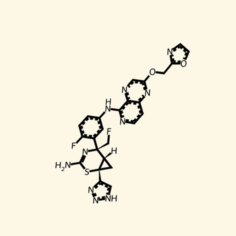 NC1=N[C@](CF)(c2cc(Nc3nccc4nc(OCc5ncco5)cnc34)ccc2F)[C@@H]2C[C@]2(c2c[nH]nn2)S1